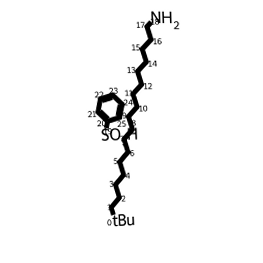 CC(C)(C)CCCCCCCCCCCCCCCCCN.O=S(=O)(O)c1ccccc1